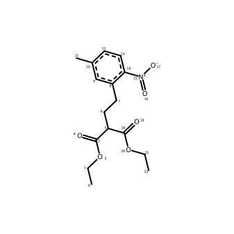 CCOC(=O)C(CCc1cc(C)ccc1[N+](=O)[O-])C(=O)OCC